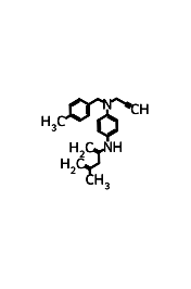 C#CCN(Cc1ccc(C)cc1)c1ccc(NC(=C)CC(=C)C)cc1